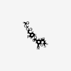 CC(=O)OCOC(=O)Cc1ccc(OC(=O)c2cc(C#N)c3c(c2)C(C)(C)CC(C)(C)O3)cc1F